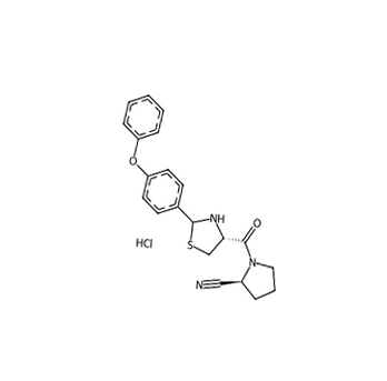 Cl.N#C[C@@H]1CCCN1C(=O)[C@@H]1CSC(c2ccc(Oc3ccccc3)cc2)N1